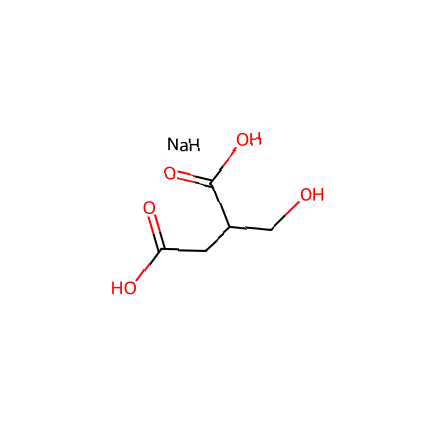 O=C(O)CC(CO)C(=O)O.[NaH]